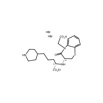 Br.Br.CCOC(=O)[C@H](CCCC1CCNCC1)N[C@H]1CSc2ccccc2N(CC(=O)O)C1=O